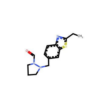 CCc1nc2ccc(CN3CCCN3C=O)cc2s1